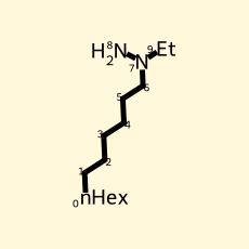 CCCCCCCCCCCCN(N)CC